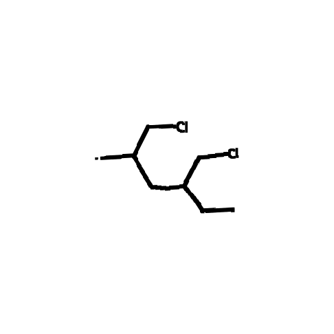 [CH2]C(CCl)CC(CC)CCl